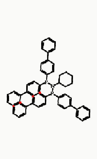 c1ccc(-c2ccc(P(c3ccc(-c4ccccc4)cc3)N(C3CCCCC3)P(c3ccc(-c4ccccc4)cc3)c3ccc(-c4ccccc4)cc3)cc2)cc1